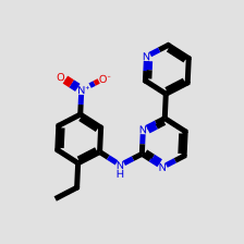 CCc1ccc([N+](=O)[O-])cc1Nc1nccc(-c2cccnc2)n1